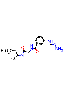 CCOC(=O)CC(NC(=O)CNC(=O)c1cccc(NC=NN)c1)C(F)(F)F